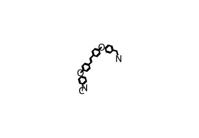 C=C=Nc1ccc(Oc2ccc(/C=C/c3ccc(Oc4ccc(CC#N)cc4)cc3)cc2)cc1